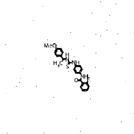 COc1ccc(C(C)NC(=S)Nc2ccc(NC(=O)c3ccccc3F)cc2)cc1